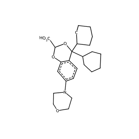 O=C(O)C1Oc2cc(N3CCOCC3)ccc2C(C2CCCCC2)(C2CCCCC2)O1